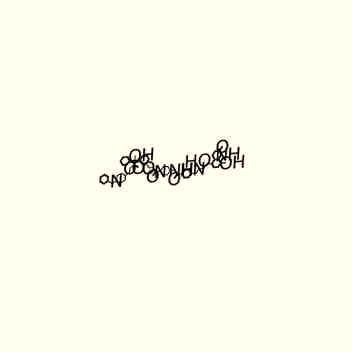 O=C(NC1CCN(C(=O)COc2cccc(C(O)(C(=O)OCC3CCN(Cc4ccccc4)CC3)c3ccccc3)c2)CC1)c1ccc(CNC[C@H](O)c2ccc(O)c3[nH]c(=O)ccc23)cc1